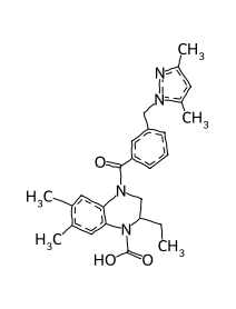 CCC1CN(C(=O)c2cccc(Cn3nc(C)cc3C)c2)c2cc(C)c(C)cc2N1C(=O)O